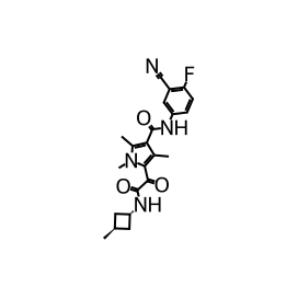 Cc1c(C(=O)Nc2ccc(F)c(C#N)c2)c(C)n(C)c1C(=O)C(=O)N[C@H]1C[C@H](C)C1